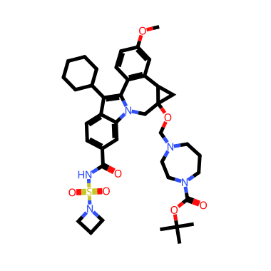 COc1ccc2c(c1)C1CC1(OCN1CCCN(C(=O)OC(C)(C)C)CC1)Cn1c-2c(C2CCCCC2)c2ccc(C(=O)NS(=O)(=O)N3CCC3)cc21